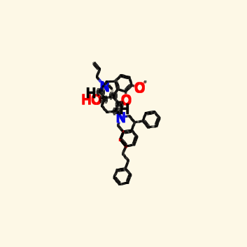 C=CCN1CC[C@]23c4c5ccc(OC)c4O[C@H]2[C@@H](N(CCCCCCc2ccccc2)CC(c2ccccc2)c2ccccc2)CC[C@@]3(O)[C@H]1C5